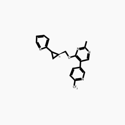 Cc1ncc(-c2ccc(C(F)(F)F)nc2)c(OC[C@H]2CC2c2ccccn2)n1